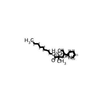 CCCCCCCCOC(=O)C(C)(C)CC(CC)c1ccccn1